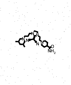 CC1CC(C)CN(CCCN2CCN(CCN3CCC(C(N)=O)CC3)C2=C(C#N)C#N)C1